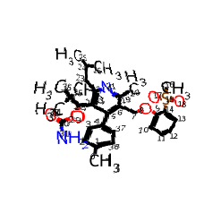 Cc1ccc(-c2c(COc3ccccc3S(C)(=O)=O)c(C)nc(CC(C)C)c2C(OC(N)=O)C(C)(C)C)cc1